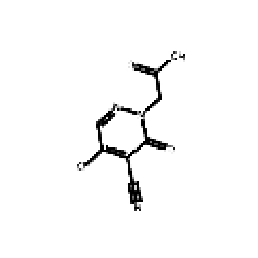 N#Cc1c(Cl)cnn(CC(=O)O)c1=O